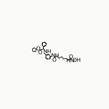 O=C(CCCCCCC(=O)Nc1cccc(CNC(C(=O)OC2CCCC2)c2ccccc2)c1)NO